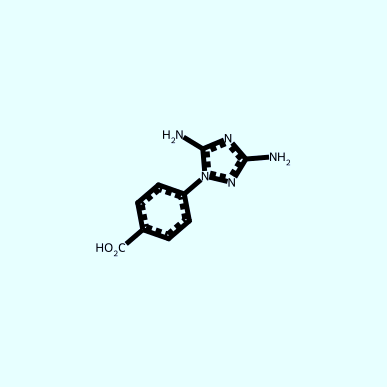 Nc1nc(N)n(-c2ccc(C(=O)O)cc2)n1